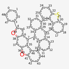 c1ccc(-c2cc3c(-c4c5ccccc5c(-c5cccc6sc7ccccc7c56)c5ccccc45)c4c(cc3o2)oc2ccccc24)cc1